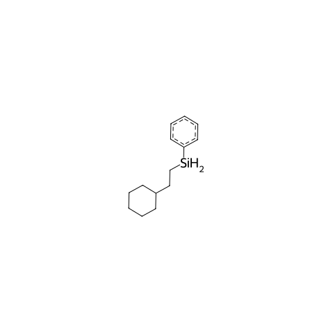 c1ccc([SiH2]CCC2CCCCC2)cc1